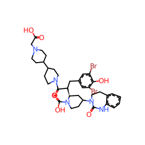 O=C(O)CN1CCC(C2CCN(C(=O)C(Cc3cc(Br)c(O)c(Br)c3)[C@H]3CC(N4CCc5ccccc5NC4=O)CCN3C(=O)O)CC2)CC1